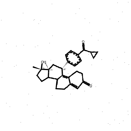 C[C@]1(O)CCC2C3CCC4=CC(=O)CCC4=C3[C@@H](c3ccc(C(=O)C4CC4)cc3)C[C@@]21C